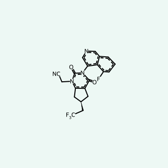 N#CCn1c2c(c(=O)n(-c3cncc4cccc(F)c34)c1=O)C[C@@H](CC(F)(F)F)C2